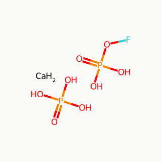 O=P(O)(O)O.O=P(O)(O)OF.[CaH2]